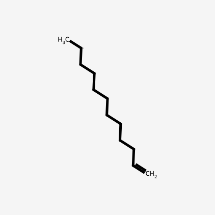 C=CCCCCCCCC[CH]C